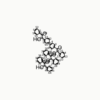 O=C(c1ccccc1)C(O)c1ccccc1.O=C(c1ccccc1)C(O)c1ccccc1.O=C(c1ccccc1)C(O)c1ccccc1.O=C(c1ccccc1)C(O)c1ccccc1